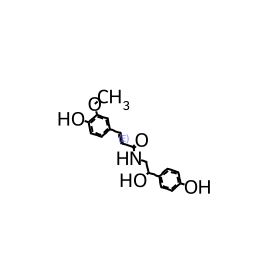 COc1cc(/C=C/C(=O)NCC(O)c2ccc(O)cc2)ccc1O